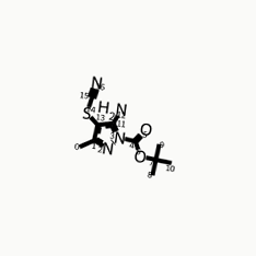 Cc1nn(C(=O)OC(C)(C)C)c(N)c1SC#N